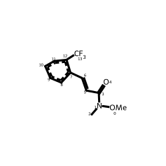 CON(C)C(=O)/C=C/c1ccccc1C(F)(F)F